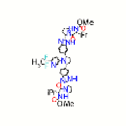 COC(=O)N[C@H](C(=O)N1CCC[C@H]1c1nc2ccc([C@H]3CC[C@H](c4ccc5nc([C@@H]6CCCN6C(=O)[C@@H](NC(=O)OC)C(C)C)[nH]c5c4)N3c3ccc(C(C)(F)F)nc3)cc2[nH]1)C(C)C